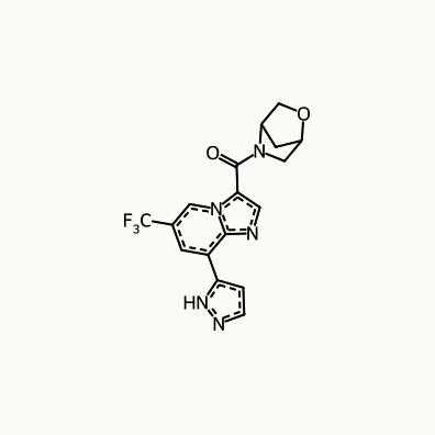 O=C(c1cnc2c(-c3ccn[nH]3)cc(C(F)(F)F)cn12)N1CC2CC1CO2